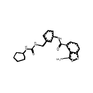 Nc1noc2cccc(C(=O)Nc3cccc(CNC(=O)NC4CCCC4)c3)c12